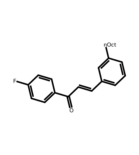 CCCCCCCCc1cccc(C=CC(=O)c2ccc(F)cc2)c1